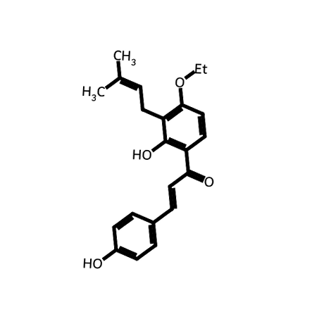 CCOc1ccc(C(=O)/C=C/c2ccc(O)cc2)c(O)c1CC=C(C)C